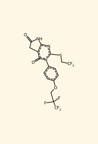 O=C1Cc2c(nc(SCC(F)(F)F)n(-c3ccc(OCC(F)(F)C(F)(F)F)cc3)c2=O)N1